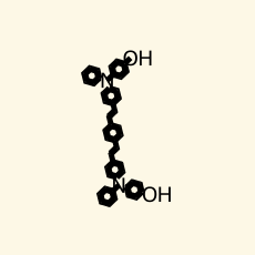 Oc1ccc(N(c2ccccc2)c2ccc(/C=C/c3ccc(/C=C/c4ccc(N(c5ccccc5)c5ccc(O)cc5)cc4)cc3)cc2)cc1